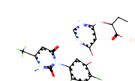 CCC(Oc1cc(Oc2cc(-n3c(=O)cc(C(F)(F)F)n(C)c3=O)c(F)cc2Cl)ncn1)C(=O)O